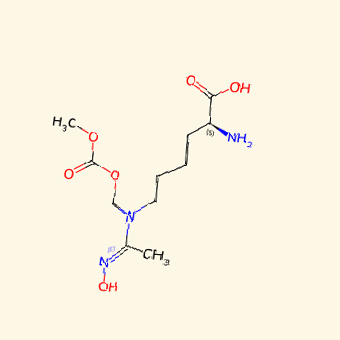 COC(=O)OCN(CCCC[C@H](N)C(=O)O)/C(C)=N/O